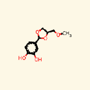 COCC1COC(c2ccc(O)c(O)c2)O1